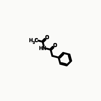 CC(=O)NC(=O)Cc1ccccc1